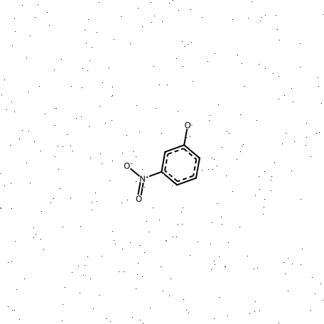 [O]c1cccc([N+](=O)[O-])c1